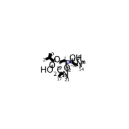 C=C(C)C(=O)OCC/[P+]([O-])=C(\O)C[N+](C)(C)C.CC(C(=O)O)N(C)C